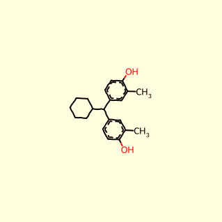 Cc1cc(C(c2ccc(O)c(C)c2)C2CCCCC2)ccc1O